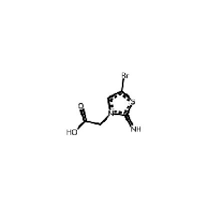 N=c1sc(Br)cn1CC(=O)O